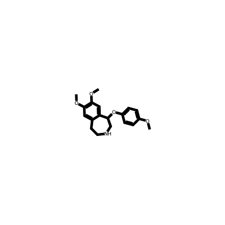 COc1ccc(OC2CNCCc3cc(OC)c(OC)cc32)cc1